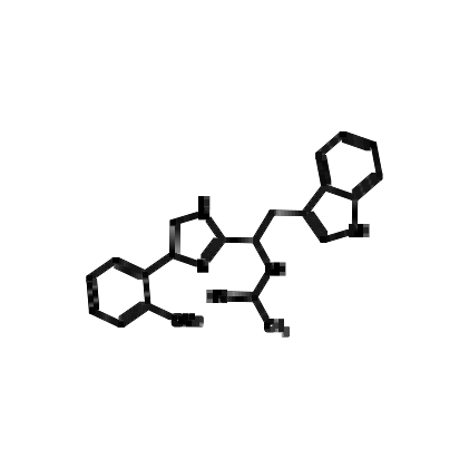 COc1ccccc1-c1c[nH]c(C(Cc2c[nH]c3ccccc23)NC(C)=N)n1